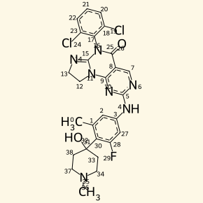 Cc1cc(Nc2ncc3c(n2)N2CCN=C2N(c2c(Cl)cccc2Cl)C3=O)cc(F)c1C1(O)CCN(C)CC1